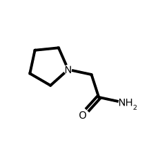 NC(=O)CN1CCCC1